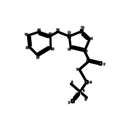 CP(C)(=O)OCC(=O)c1cnn(Cc2ccccc2)c1